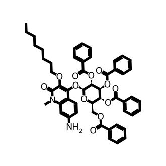 CCCCCCCCOc1c(O[C@@H]2O[C@H](COC(=O)c3ccccc3)[C@@H](OC(=O)c3ccccc3)[C@H](OC(=O)c3ccccc3)[C@H]2OC(=O)c2ccccc2)c2ccc(N)cc2n(C)c1=O